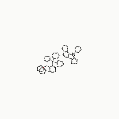 c1ccc(-n2c3ccccc3c3cc(-c4cccc(C5(c6ccccc6)c6ccccc6C6(c7ccccc7)c7ccccc7-c7cccc5c76)c4)c4ccccc4c32)cc1